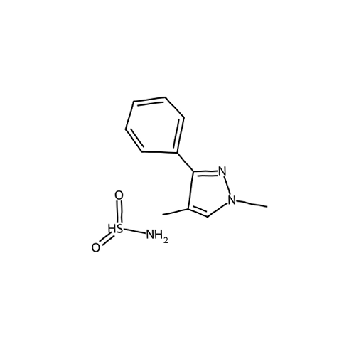 Cc1cn(C)nc1-c1ccccc1.N[SH](=O)=O